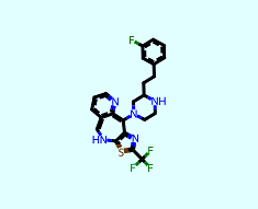 Fc1cccc(CCC2CN(C3=c4ncccc4=CNc4sc(C(F)(F)F)nc43)CCN2)c1